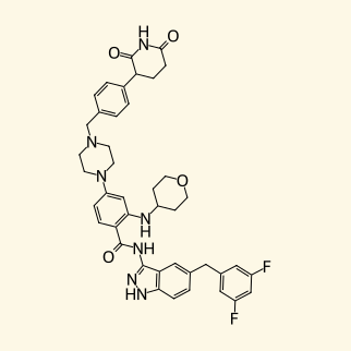 O=C1CCC(c2ccc(CN3CCN(c4ccc(C(=O)Nc5n[nH]c6ccc(Cc7cc(F)cc(F)c7)cc56)c(NC5CCOCC5)c4)CC3)cc2)C(=O)N1